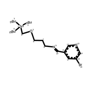 CCC[CH2][Sn]([CH2]CCC)([CH2]CCC)[CH2]OCCCN=Cc1cncc(Br)c1